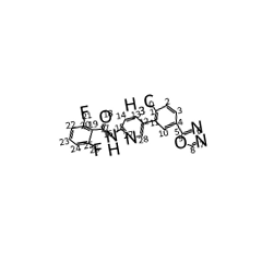 Cc1ccc(-c2nnco2)cc1-c1ccc(NC(=O)c2c(F)cccc2F)nc1